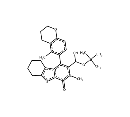 Cc1c(-c2c(C(C#N)O[Si](C)(C)C)n(C)c(=O)c3sc4c(c23)CCCC4)ccc2c1CCCO2